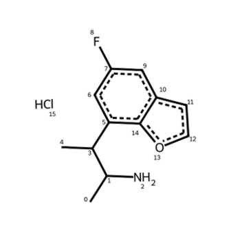 CC(N)C(C)c1cc(F)cc2ccoc12.Cl